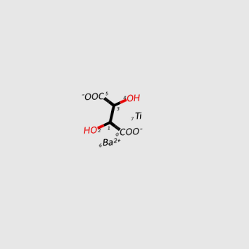 O=C([O-])C(O)C(O)C(=O)[O-].[Ba+2].[Ti]